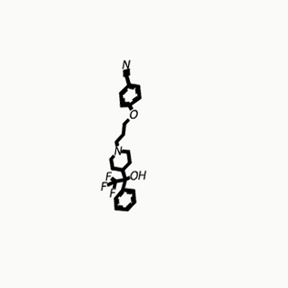 N#Cc1ccc(OCCCN2CCC(C(O)(c3ccccc3)C(F)(F)F)CC2)cc1